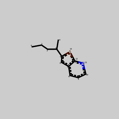 CCCC(C)c1cc2cccnc2s1